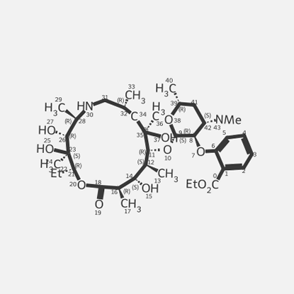 CCOC(=O)c1ccccc1O[C@H]1[C@H](O[C@@H]2[C@@H](C)[C@H](O)[C@@H](C)C(=O)O[C@H](CC)[C@@](C)(O)[C@H](O)[C@@H](C)NC[C@H](C)C[C@@]2(C)O)O[C@H](C)C[C@@H]1NC